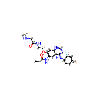 C=CC(=O)Nc1cc2c(Nc3ccc(Br)cc3F)ncnc2cc1OCCNC(=O)CNCCC